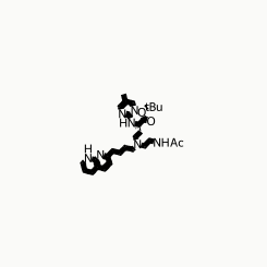 CC(=O)NCCN(CCCCc1ccc2c(n1)NCCC2)CC[C@H](Nc1ncc(C)cn1)C(=O)OC(C)(C)C